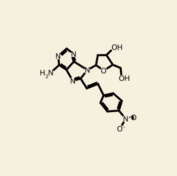 Nc1ncnc2c1nc(/C=C/c1ccc([N+](=O)[O-])cc1)n2C1CC(O)C(CO)O1